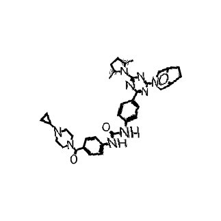 C[C@@H]1CC[C@H](C)N1c1nc(-c2ccc(NC(=O)Nc3ccc(C(=O)N4CCN(C5CC5)CC4)cc3)cc2)nc(N2CC3CCC(C2)O3)n1